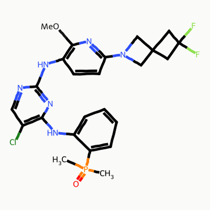 COc1nc(N2CC3(C2)CC(F)(F)C3)ccc1Nc1ncc(Cl)c(Nc2ccccc2P(C)(C)=O)n1